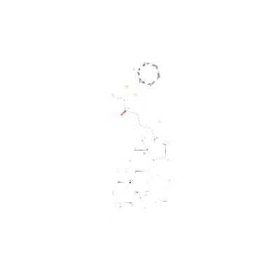 CC[C@H]1[C@@H](O)C2[C@H](CC[C@]3(C)[C@@H]([C@H](C)CCC(=O)N(C)S(=O)(=O)c4ccccc4)CC[C@@H]23)C2(C)CC[C@@H](O)C[C@@H]12